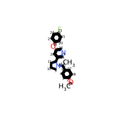 COc1ccc([C@@H](C)N2CCCC2c2cncc(Oc3ccc(F)cc3)c2)cc1